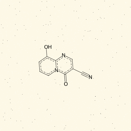 N#Cc1cnc2c(O)cccn2c1=O